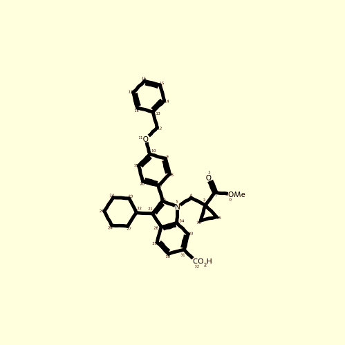 COC(=O)C1(Cn2c(-c3ccc(OCc4ccccc4)cc3)c(C3CCCCC3)c3ccc(C(=O)O)cc32)CC1